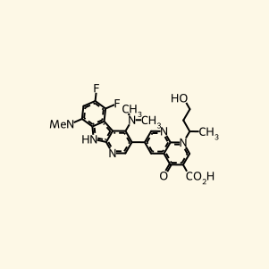 CNc1cc(F)c(F)c2c1[nH]c1ncc(-c3cnc4c(c3)c(=O)c(C(=O)O)cn4C(C)CCO)c(N(C)C)c12